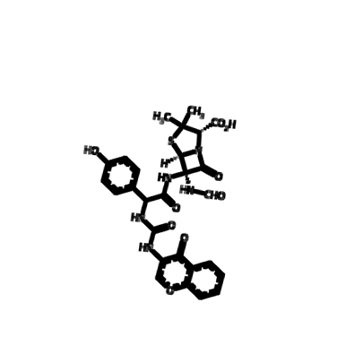 CC1(C)S[C@H]2N(C(=O)[C@@]2(NC=O)NC(=O)C(NC(=O)Nc2coc3ccccc3c2=O)c2ccc(O)cc2)[C@H]1C(=O)O